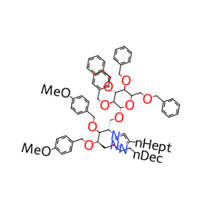 CCCCCCCCCCCCCC[C@@H](OCc1ccc(OC)cc1)[C@@H](OCc1ccc(OC)cc1)[C@H](CO[C@H]1OC(COCc2ccccc2)[C@H](OCc2ccccc2)[C@@H](OCc2ccccc2)[C@@H]1OCc1ccccc1)n1cc(CCCCCCC)nn1